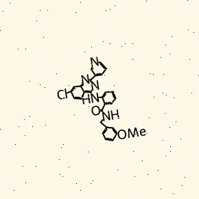 COc1cccc(CNC(=O)c2ccccc2Nc2nc(-c3cccnc3)nc3cc(Cl)ccc23)c1